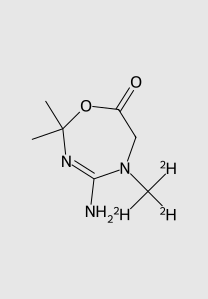 [2H]C([2H])([2H])N1CC(=O)OC(C)(C)N=C1N